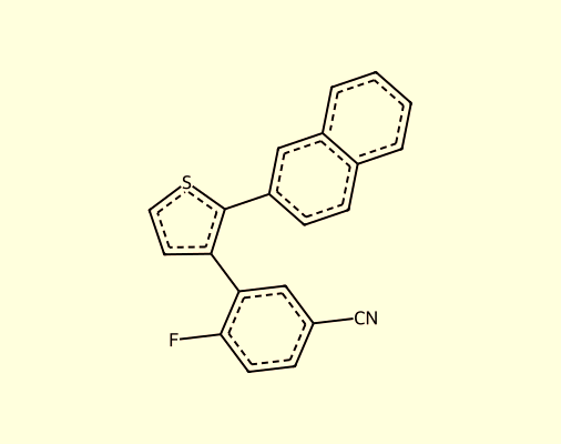 N#Cc1ccc(F)c(-c2ccsc2-c2ccc3ccccc3c2)c1